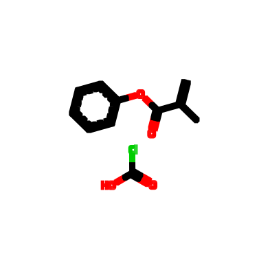 C=C(C)C(=O)Oc1ccccc1.O=C(O)Cl